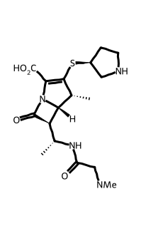 CNCC(=O)N[C@H](C)[C@H]1C(=O)N2C(C(=O)O)=C(S[C@H]3CCNC3)[C@H](C)[C@H]12